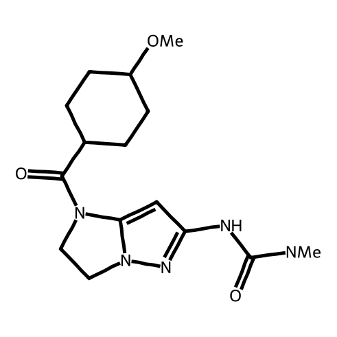 CNC(=O)Nc1cc2n(n1)CCN2C(=O)C1CCC(OC)CC1